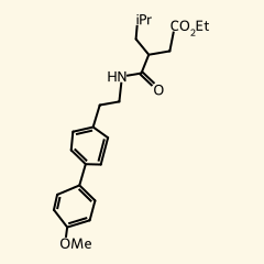 CCOC(=O)CC(CC(C)C)C(=O)NCCc1ccc(-c2ccc(OC)cc2)cc1